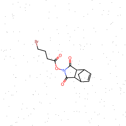 O=C(CCCBr)ON1C(=O)C2C3C=CC(C3)C2C1=O